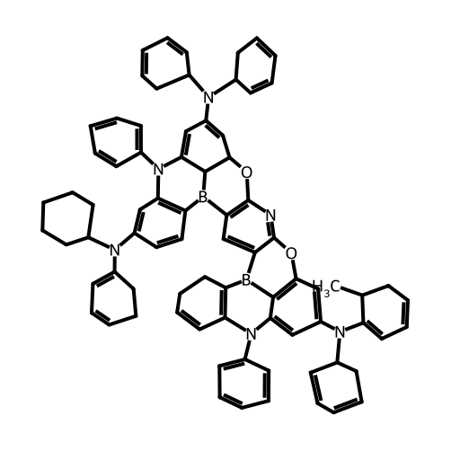 CC1CC=CC=C1N(c1cc2c3c(c1)N(c1ccccc1)C1=C(CCC=C1)B3c1cc3c(nc1O2)OC1C=C(N(C2C=CC=CC2)C2C=CC=CC2)C=C2C1B3c1ccc(N(C3=CC=CCC3)C3CCCCC3)cc1N2c1ccccc1)C1C=CC=CC1